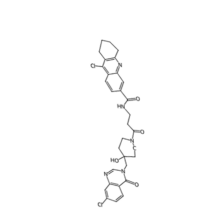 O=C(NCCC(=O)N1CCC(O)(Cn2cnc3cc(Cl)ccc3c2=O)CC1)c1ccc2c(Cl)c3c(nc2c1)CCCC3